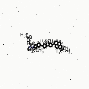 C=CC(=O)OCCCC(=C/C)/C=C1\C(=C)c2ccc(-c3ccc4c(c3)C(C)(C)c3cc(C5=C6C=CC7=CC(C(C)(C)C)=CC8=CC=C(C=C5)C6C87)ccc3-4)cc2C1(C)C